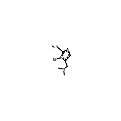 CCn1c(CN(C)C)cnc1N